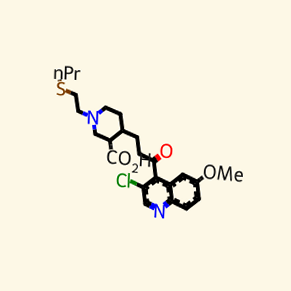 CCCSCCN1CCC(CCC(=O)c2c(Cl)cnc3ccc(OC)cc23)C(C(=O)O)C1